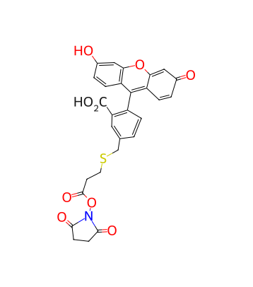 O=C(CCSCc1ccc(-c2c3ccc(=O)cc-3oc3cc(O)ccc23)c(C(=O)O)c1)ON1C(=O)CCC1=O